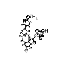 COc1ccc(-c2ccc3c(c2)CN(C(C)=O)c2ccc(Cl)cc2CC3)cn1.O=C(O)C(F)(F)F